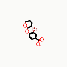 COC(=O)c1ccc(OC2CCCCO2)c(Br)c1